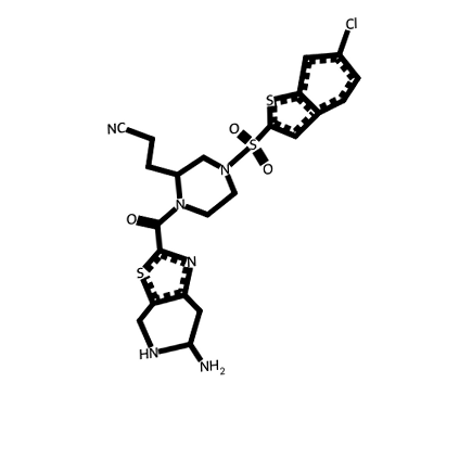 N#CCCC1CN(S(=O)(=O)c2cc3ccc(Cl)cc3s2)CCN1C(=O)c1nc2c(s1)CNC(N)C2